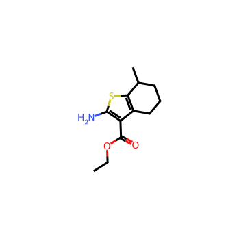 CCOC(=O)c1c(N)sc2c1CCCC2C